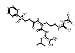 CC(C)C[C@H](NC(=O)[C@H](CCCNC(=N)N[N+](=O)[O-])NC(=O)CCS(=O)(=O)c1ccccc1)B(O)O